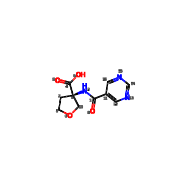 O=C(N[C@]1(C(=O)O)CCOC1)c1cncnc1